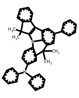 CC1(C)C2=C(c3ccccc31)c1cc(-c3ccccc3)cc3c1B2c1ccc(N(c2ccccc2)c2ccccc2)cc1C3(C)C